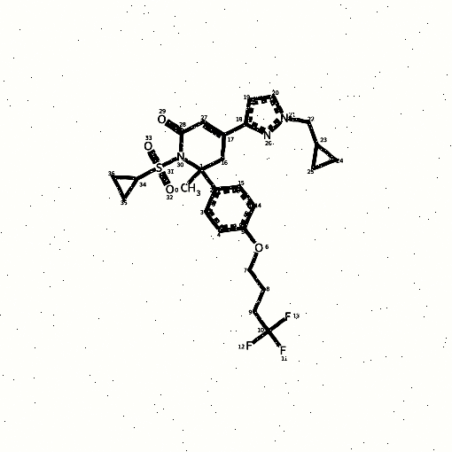 CC1(c2ccc(OCCCC(F)(F)F)cc2)CC(c2ccn(CC3CC3)n2)=CC(=O)N1S(=O)(=O)C1CC1